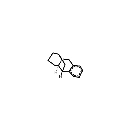 c1ccc2c(c1)CN1C3CCC[C@@H]1[C@@H]2C3